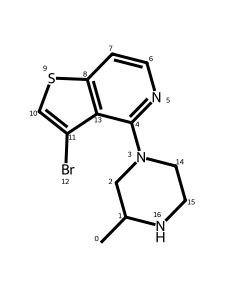 CC1CN(c2nccc3scc(Br)c23)CCN1